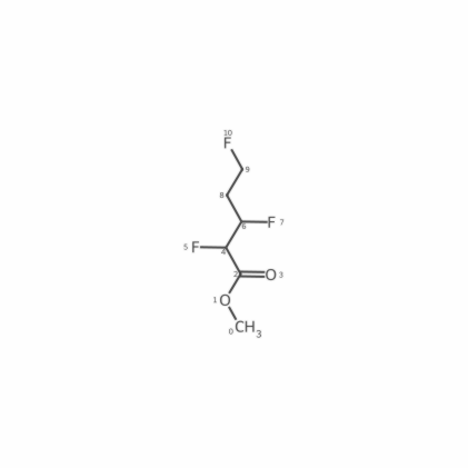 COC(=O)C(F)C(F)CCF